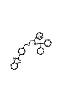 OCC(COCc1ccc(-c2nc3ccccc3o2)cc1)NC(c1ccccc1)(c1ccccc1)c1ccccc1